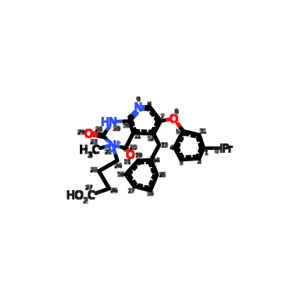 CC(C)c1cccc(Oc2cnc3c(c2Cc2ccccc2)C(=O)[N+](C)(CCCC(=O)O)C(=O)N3)c1